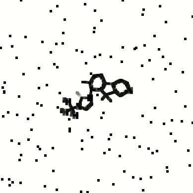 [2H]C([2H])([2H])N1C=CN(c2c(C)ccc3c2C(C)(C)c2cnccc2-3)[C@H]1C